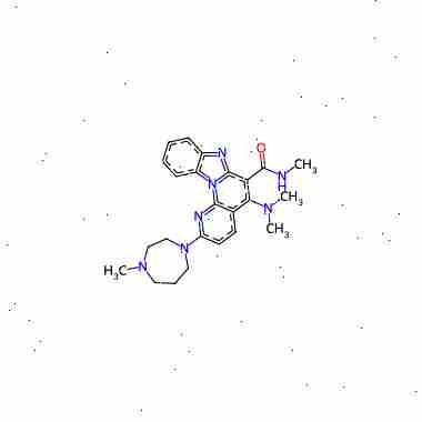 CNC(=O)c1c(N(C)C)c2ccc(N3CCCN(C)CC3)nc2n2c1nc1ccccc12